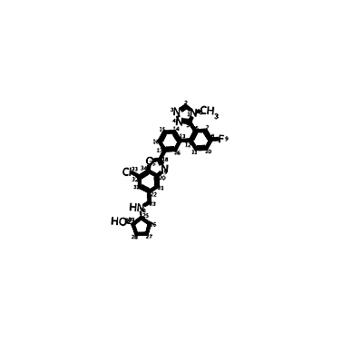 Cn1cnnc1-c1cc(F)ccc1-c1cccc(-c2nc3cc(CN[C@@H]4CCC[C@@H]4O)cc(Cl)c3o2)c1